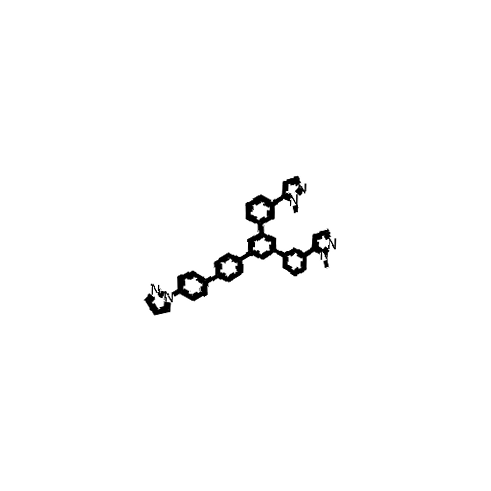 Cn1nccc1-c1cccc(-c2cc(-c3ccc(-c4ccc(-n5cccn5)cc4)cc3)cc(-c3cccc(-c4ccnn4C)c3)c2)c1